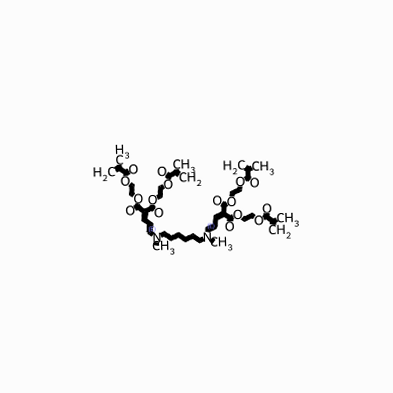 C=C(C)C(=O)OCCOC(=O)C(=C/C=C/N(C)CCCCCCN(C)/C=C/C=C(C(=O)OCCOC(=O)C(=C)C)C(=O)OCCOC(=O)C(=C)C)C(=O)OCCOC(=O)C(=C)C